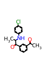 CC(=O)c1cccc(C(=O)C(C)Nc2ccc(Cl)cc2)c1